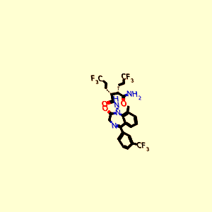 Cc1cccc2c1N(NC(=O)[C@H](CCC(F)(F)F)[C@H](CCC(F)(F)F)C(N)=O)C(=O)CN=C2c1cccc(C(F)(F)F)c1